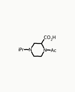 CC(=O)N1CCN(C(C)C)CC1C(=O)O